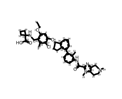 CCOc1cc(OC2CCc3c(-c4cccc(NC(=O)c5nc6c(n5C)CCN(C)C6)c4C)cccc32)c(Cl)c(F)c1CNC1(C(=O)O)CCC1